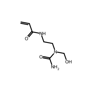 C=CC(=O)NCCN(CO)C(N)=O